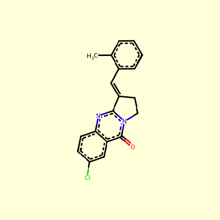 Cc1ccccc1C=C1CCn2c1nc1ccc(Cl)cc1c2=O